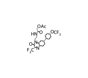 CC(=O)OCC(=O)NCCn1c(=O)c(C(F)(F)F)nc2ccc(-c3ccc(OC(F)(F)F)cc3)cc21